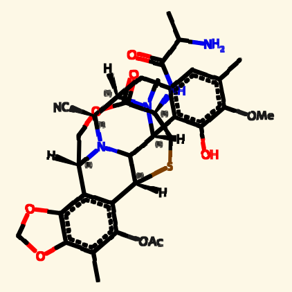 COc1c(C)cc2c(c1O)[C@@H]1C3[C@@H]4SC[C@H](NC(=O)C(C)N)C(=O)OC[C@@H](c5c6c(c(C)c(OC(C)=O)c54)OCO6)N3[C@@H](C#N)[C@H](C2)N1C